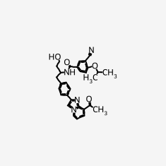 CC(=O)c1cccn2cc(-c3ccc(CC(CCO)NC(=O)c4ccc(OC(C)C)c(C#N)c4)cc3)nc12